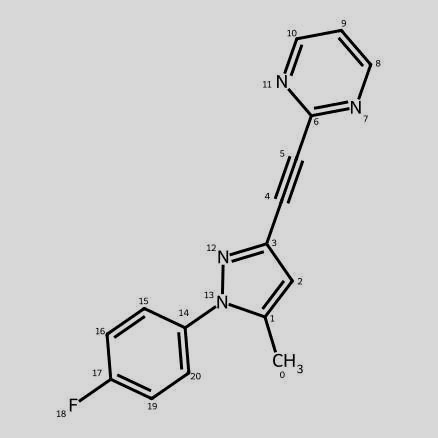 Cc1cc(C#Cc2ncccn2)nn1-c1ccc(F)cc1